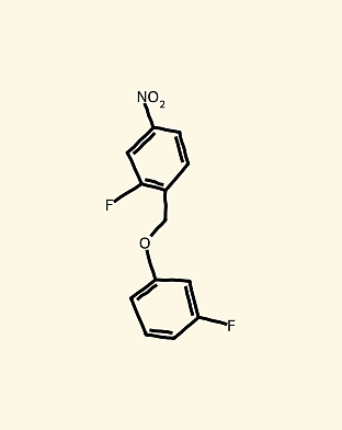 O=[N+]([O-])c1ccc(COc2cccc(F)c2)c(F)c1